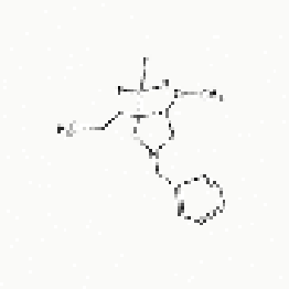 CCCC1(C(F)(F)F)CN(Cc2ccccc2)CC1OC